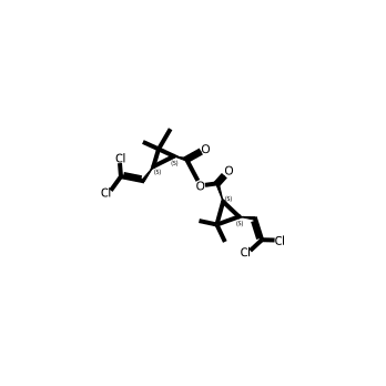 CC1(C)[C@H](C=C(Cl)Cl)[C@@H]1C(=O)OC(=O)[C@H]1[C@@H](C=C(Cl)Cl)C1(C)C